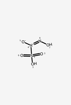 O=S(=O)(O)[N+]([O-])=NO